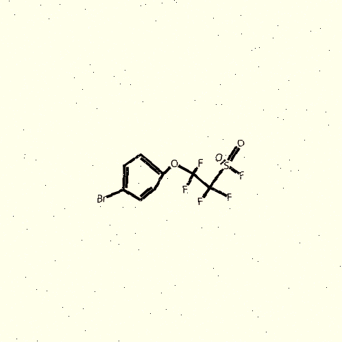 O=S(=O)(F)C(F)(F)C(F)(F)Oc1ccc(Br)cc1